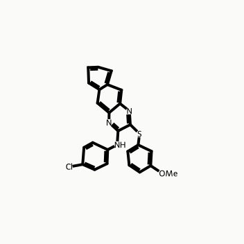 COc1cccc(Sc2nc3cc4ccccc4cc3nc2Nc2ccc(Cl)cc2)c1